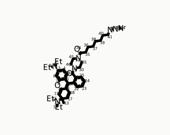 CCN(CC)c1ccc2c(c1)OC1=CC(C)(N(CC)CC)C=CC1=C2c1ccccc1C(=O)N1CCN(C(=O)CCCCCCCN=[N+]=[N-])CC1